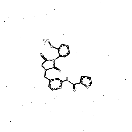 O=C(Nc1cc(CN2CC(=O)N(c3ccccc3OC(F)(F)F)C2=O)ccn1)c1ccco1